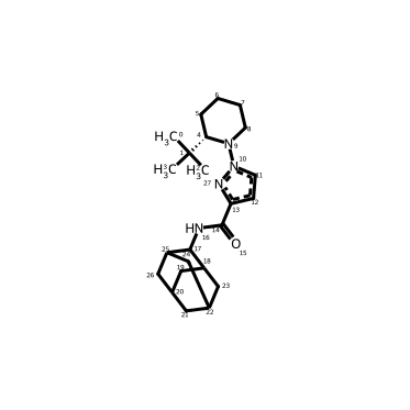 CC(C)(C)[C@@H]1CCCCN1n1ccc(C(=O)NC2C3CC4CC(C3)CC2C4)n1